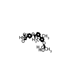 Cc1cc(OCCC(C)(C)O)cc(C)c1-c1cccc2c1OC[C@H]2Oc1ccc(C2CC(=O)N[S+]2[O-])cc1